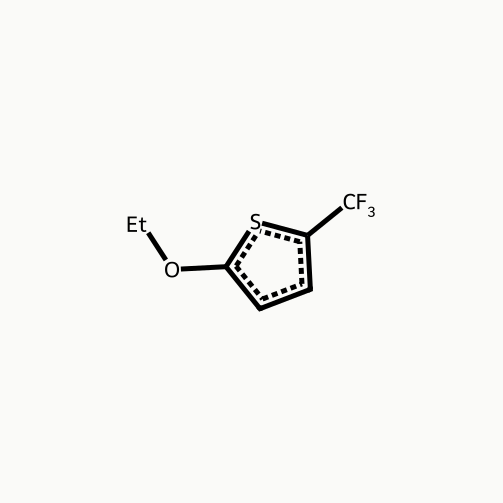 CCOc1ccc(C(F)(F)F)s1